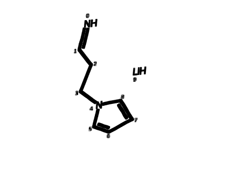 N=CCCn1cccc1.[LiH]